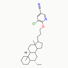 CC[C@H]1CC2C3CCC(CCCOc4ncc(C#N)cc4Cl)C3(C)CC[C@@H]2C2(C)CCCCC12